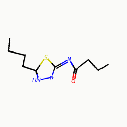 CCCCC1N[N]C(=NC(=O)CCC)S1